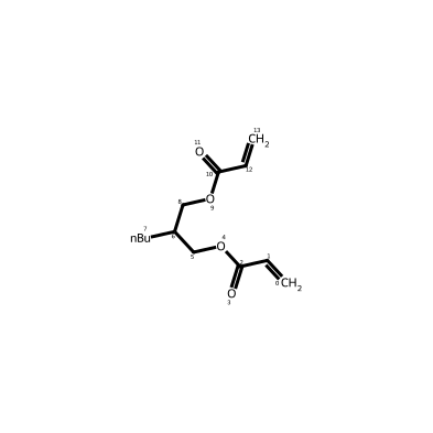 C=CC(=O)OCC(CCCC)COC(=O)C=C